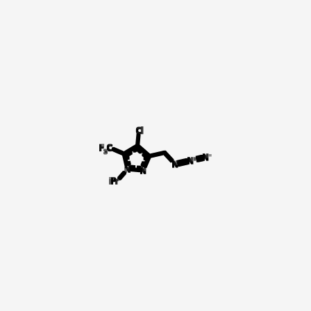 CC(C)n1nc(CN=[N+]=[N-])c(Cl)c1C(F)(F)F